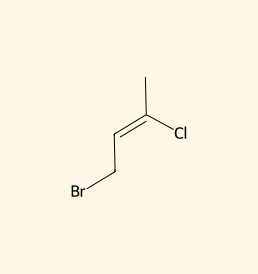 CC(Cl)=CCBr